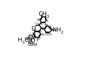 Cc1cccc(C2COc3cc(O[Si](C)(C)C(C)(C)C)ccc3C2c2ccc(N)cc2)c1